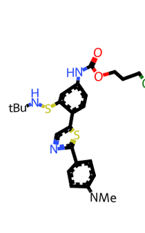 CNc1ccc(-c2ncc(-c3ccc(NC(=O)OCCCCl)cc3SNC(C)(C)C)s2)cc1